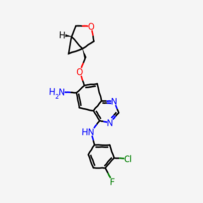 Nc1cc2c(Nc3ccc(F)c(Cl)c3)ncnc2cc1OC[C@]12COC[C@H]1C2